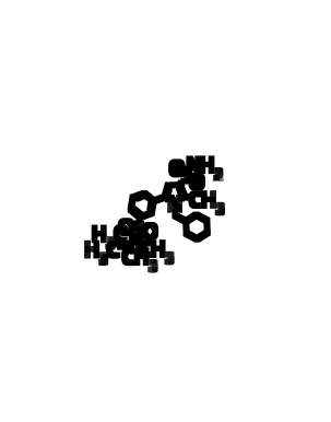 Cc1c(S(N)(=O)=O)cc(-c2cccc(S(=O)(=O)N(C)C(C)(C)C)c2)n1CC1CCCCC1